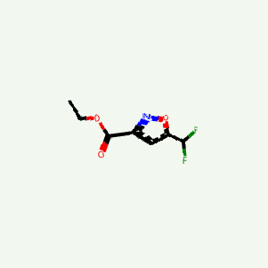 CCOC(=O)c1cc(C(F)F)on1